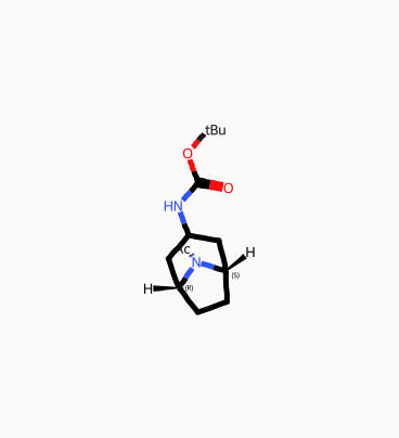 CC(=O)N1[C@@H]2CC[C@H]1CC(NC(=O)OC(C)(C)C)C2